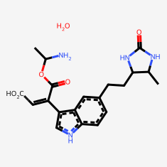 CC(N)OC(=O)/C(=C\C(=O)O)c1c[nH]c2ccc(CCC3NC(=O)NC3C)cc12.O